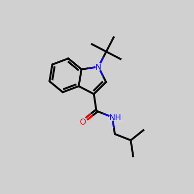 CC(C)CNC(=O)c1cn(C(C)(C)C)c2ccccc12